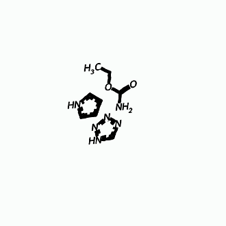 CCOC(N)=O.c1cc[nH]c1.c1nnn[nH]1